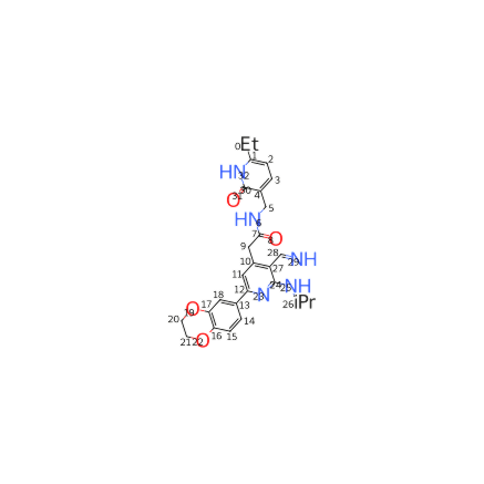 CCc1ccc(CNC(=O)Cc2cc(-c3ccc4c(c3)OCCO4)nc(NC(C)C)c2C=N)c(=O)[nH]1